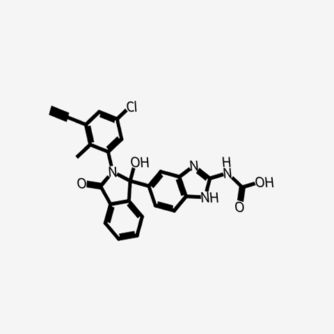 C#Cc1cc(Cl)cc(N2C(=O)c3ccccc3C2(O)c2ccc3[nH]c(NC(=O)O)nc3c2)c1C